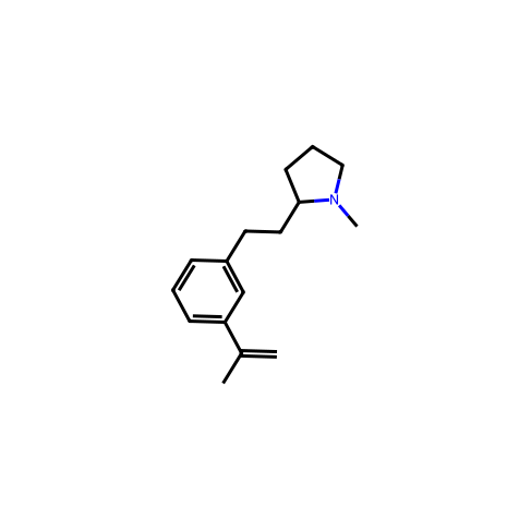 C=C(C)c1cccc(CCC2CCCN2C)c1